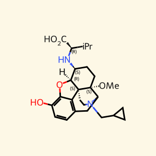 CO[C@@]12CC[C@H](N[C@@H](C(=O)O)C(C)C)[C@@H]3Oc4c(O)ccc5c4[C@@]31CCN(CC1CC1)C2C5